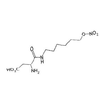 NC(CC(=O)O)C(=O)NCCCCCCO[N+](=O)[O-]